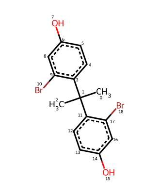 CC(C)(c1ccc(O)cc1Br)c1ccc(O)cc1Br